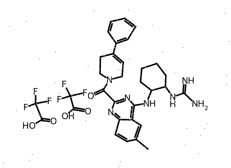 Cc1ccc2nc(C(=O)N3CC=C(c4ccccc4)CC3)nc(NC3CCCCC3NC(=N)N)c2c1.O=C(O)C(F)(F)F.O=C(O)C(F)(F)F